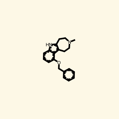 CN1CCc2[nH]c3cccc(OCc4ccccc4)c3c2CC1